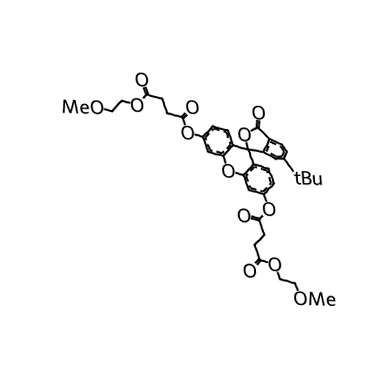 COCCOC(=O)CCC(=O)Oc1ccc2c(c1)Oc1cc(OC(=O)CCC(=O)OCCOC)ccc1C21OC(=O)c2ccc(C(C)(C)C)cc21